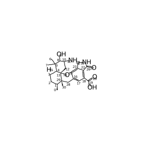 C[C@H]1CC[C@H]2C(C)(C)C(O)C(N)C[C@]23Oc2c(cc(C(=O)O)c4c2CNC4=O)C[C@]13C